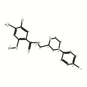 CCOc1cc(N)c(Cl)cc1C(=O)NCC1CN(c2ccc(F)cc2)CCO1